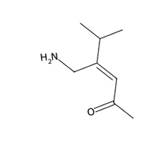 CC(=O)C=C(CN)C(C)C